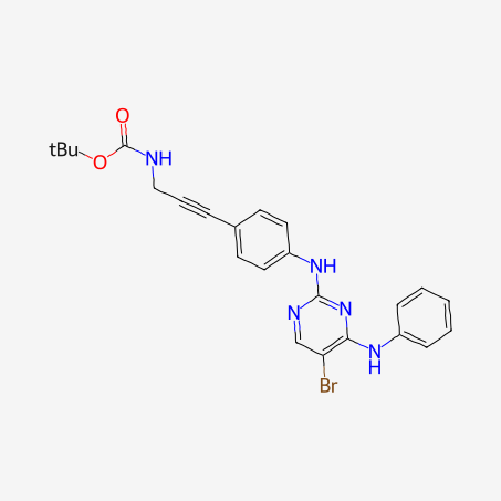 CC(C)(C)OC(=O)NCC#Cc1ccc(Nc2ncc(Br)c(Nc3ccccc3)n2)cc1